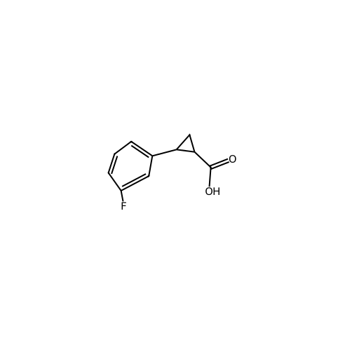 O=C(O)C1CC1c1cccc(F)c1